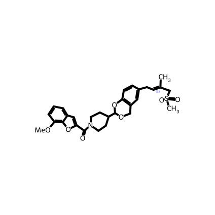 COc1cccc2cc(C(=O)N3CCC(C4OCc5cc(C/C=C(\C)CS(C)(=O)=O)ccc5O4)CC3)oc12